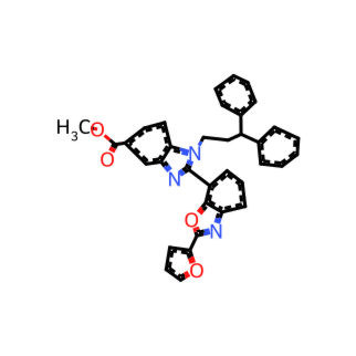 COC(=O)c1ccc2c(c1)nc(-c1cccc3nc(-c4ccco4)oc13)n2CCC(c1ccccc1)c1ccccc1